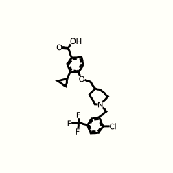 O=C(O)c1ccc(OCC2CCN(Cc3cc(C(F)(F)F)ccc3Cl)CC2)c(C2CC2)c1